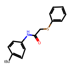 CC(C)(C)c1ccc(NC(=O)CSc2ccccc2)cc1